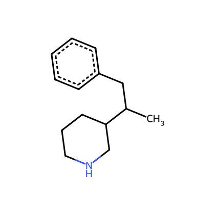 CC(Cc1ccccc1)C1CCCNC1